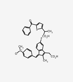 CC(C(=O)O)c1ccc(C(=O)c2ccccc2)s1.CC1=C(CC(=O)O)c2cc(F)ccc2/C1=C\c1ccc([S+](C)[O-])cc1